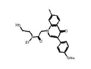 CCN(CCO)C(=O)Cn1cc(-c2ccc(OC)cc2)c(=O)c2ccc(C)cc21